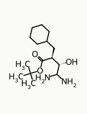 CC(C)(C)OC(=O)[C@@H](CC1CCCCC1)[C@H](O)C(N)N